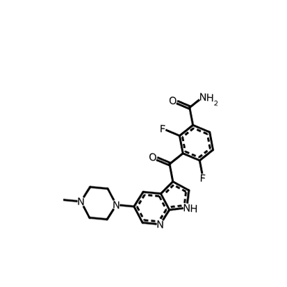 CN1CCN(c2cnc3[nH]cc(C(=O)c4c(F)ccc(C(N)=O)c4F)c3c2)CC1